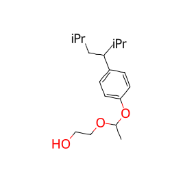 CC(C)CC(c1ccc(OC(C)OCCO)cc1)C(C)C